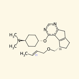 C/C=C/COC[C@H]1CCC2=C1c1c(ncnc1O[C@H]1CC[C@H](N(C)C)CC1)C2